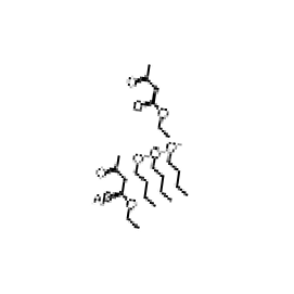 CCCC[O-].CCCC[O-].CCCC[O-].CCOC(=O)CC(C)=O.CCOC(=O)CC(C)=O.[Al+3]